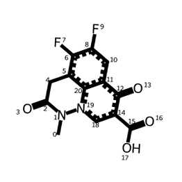 CN1C(=O)Cc2c(F)c(F)cc3c(=O)c(C(=O)O)cn1c23